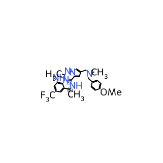 COc1ccc(CN(C)Cc2cc3c(N[C@H](C)c4cc(N)cc(C(F)(F)F)c4)nc(C)nn3c2)cc1